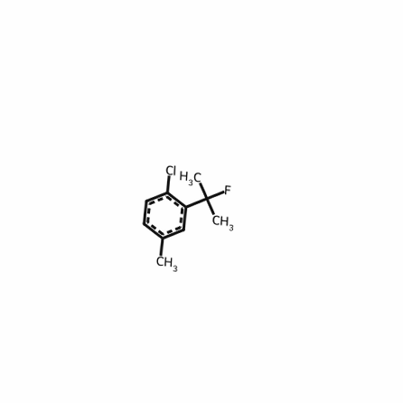 Cc1ccc(Cl)c(C(C)(C)F)c1